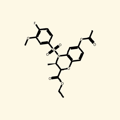 CCOC(=O)C1Oc2ccc(OC(C)=O)cc2N(S(=O)(=O)c2ccc(F)c(OC)c2)[C@@H]1C